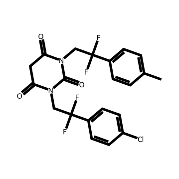 Cc1ccc(C(F)(F)CN2C(=O)CC(=O)N(CC(F)(F)c3ccc(Cl)cc3)C2=O)cc1